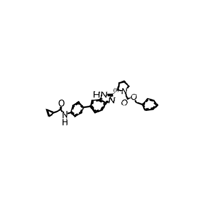 O=C(Nc1ccc(-c2ccc3nc([C@@H]4CCCN4C(=O)OCc4ccccc4)[nH]c3c2)cc1)C1CC1